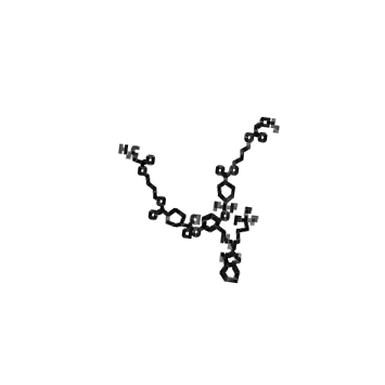 C=CC(=O)OCCCCOC(=O)C1CCC(C(F)(F)Oc2ccc(OC(Cl)(Cl)C3CCC(C(=O)OCCCCOC(=O)C=C)CC3)cc2/C=N/N(CCCC(F)(F)F)c2nc3ccccc3s2)CC1